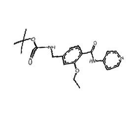 CCOc1cc(CNC(=O)OC(C)(C)C)ccc1C(=O)Nc1ccncc1